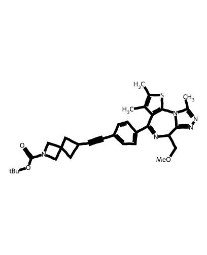 COCC1N=C(c2ccc(C#CC3CC4(C3)CN(C(=O)OC(C)(C)C)C4)cc2)c2c(sc(C)c2C)-n2c(C)nnc21